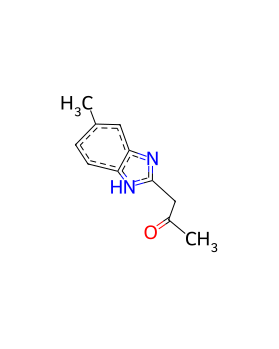 CC(=O)Cc1nc2cc(C)ccc2[nH]1